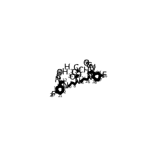 CC(C)(C)OC(=O)N(CCCn1cc(N=C=O)c2cc(F)ccc21)CCCn1cc(N=C=O)c2cc(F)ccc21